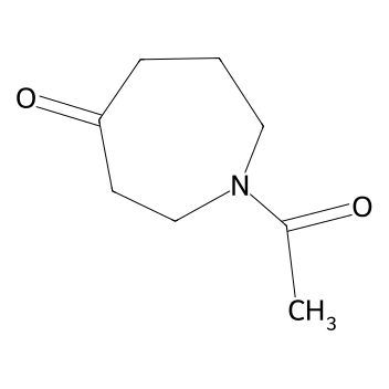 CC(=O)N1CCCC(=O)CC1